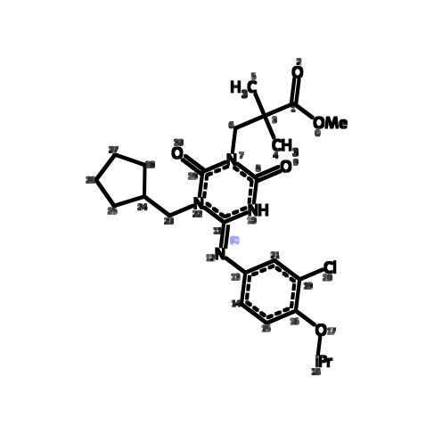 COC(=O)C(C)(C)Cn1c(=O)[nH]/c(=N\c2ccc(OC(C)C)c(Cl)c2)n(CC2CCCC2)c1=O